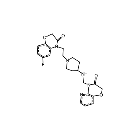 O=C1COc2ccc(F)cc2N1CCN1CCC(NCN2C(=O)COc3cccnc32)CC1